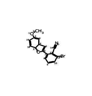 COC1=CC2C=C(c3cccc(Br)c3C#N)OC2C=C1